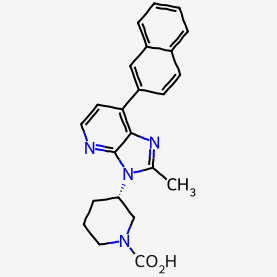 Cc1nc2c(-c3ccc4ccccc4c3)ccnc2n1[C@H]1CCCN(C(=O)O)C1